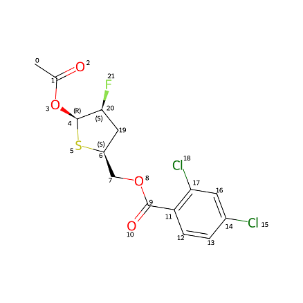 CC(=O)O[C@@H]1S[C@H](COC(=O)c2ccc(Cl)cc2Cl)C[C@@H]1F